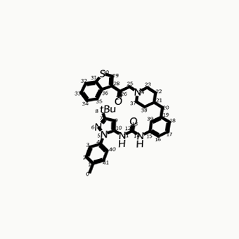 Cc1ccc(-n2nc(C(C)(C)C)cc2NC(=O)Nc2cccc(CC3CCN(CC(=O)c4csc5ccccc45)CC3)c2)cc1